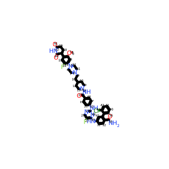 COc1cc(N2CCN(CCC3CCN(NC(=O)c4ccc(Nc5ncc(F)c(Nc6ccc(C(N)=O)c(-c7ccccc7Cl)c6)n5)cc4)CC3)CC2)c(F)cc1C1CCC(=O)NC1=O